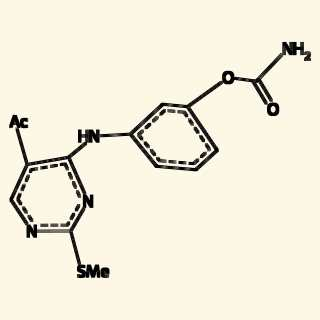 CSc1ncc(C(C)=O)c(Nc2cccc(OC(N)=O)c2)n1